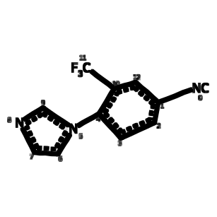 [C-]#[N+]c1ccc(-n2ccnc2)c(C(F)(F)F)c1